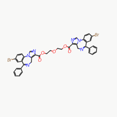 O=C(OCCOCCOC(=O)c1ncn2c1CN=C(c1ccccc1)c1cc(Br)ccc1-2)c1ncn2c1CN=C(c1ccccc1)c1cc(Br)ccc1-2